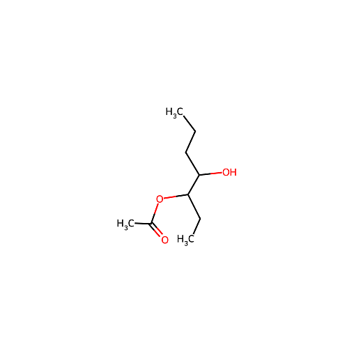 CCCC(O)C(CC)OC(C)=O